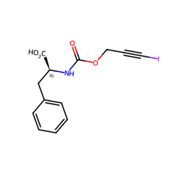 O=C(N[C@@H](Cc1ccccc1)C(=O)O)OCC#CI